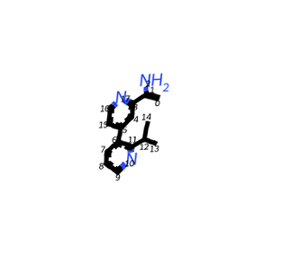 C=C(N)c1cc(-c2cccnc2C(C)C)ccn1